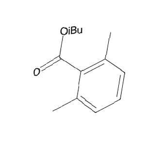 Cc1cccc(C)c1C(=O)OCC(C)C